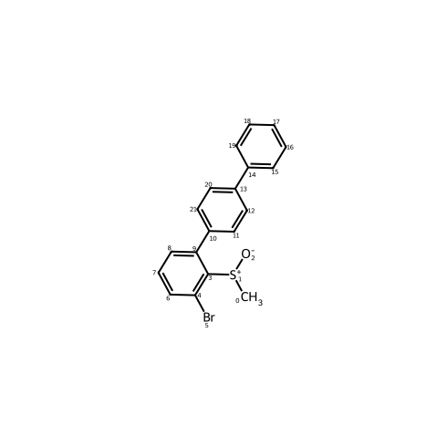 C[S+]([O-])c1c(Br)cccc1-c1ccc(-c2ccccc2)cc1